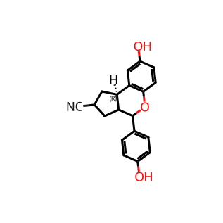 N#CC1CC2C(c3ccc(O)cc3)Oc3ccc(O)cc3[C@@H]2C1